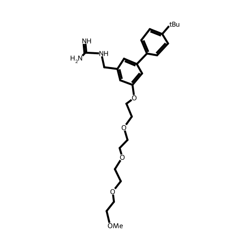 COCCOCCOCCOCCOc1cc(CNC(=N)N)cc(-c2ccc(C(C)(C)C)cc2)c1